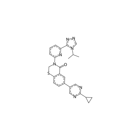 CC(C)n1cnnc1-c1cccc(N2CSc3ccc(-c4cnc(C5CC5)nc4)cc3C2=O)n1